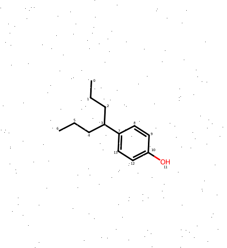 CCCC(CCC)c1ccc(O)cc1